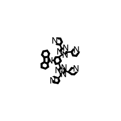 c1cncc(-c2nc(-c3cccnc3)nc(-c3cc(-c4nc(-c5cccnc5)nc(-c5cccnc5)n4)cc(-n4c5ccccc5c5ccccc54)c3)n2)c1